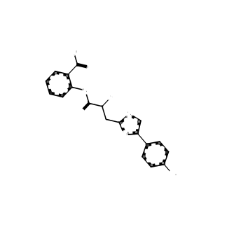 NC(Cc1ncc(-c2ccc(O)cc2)o1)C(=O)Nc1ccccc1C(=O)O